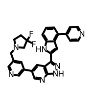 FC1(F)CCN(Cc2cncc(-c3cnc4[nH]nc(-c5cc6c(-c7ccncc7)cccc6[nH]5)c4c3)c2)C1